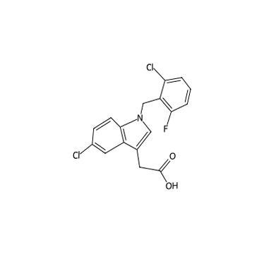 O=C(O)Cc1cn(Cc2c(F)cccc2Cl)c2ccc(Cl)cc12